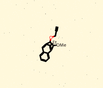 C#CCOC1c2cc3ccccc3c(c2CC)C1OC